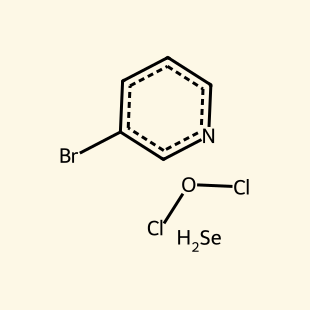 Brc1cccnc1.ClOCl.[SeH2]